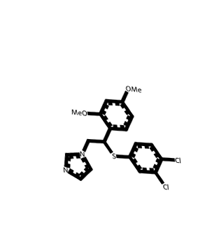 COc1ccc(C(Cn2ccnc2)Sc2ccc(Cl)c(Cl)c2)c(OC)c1